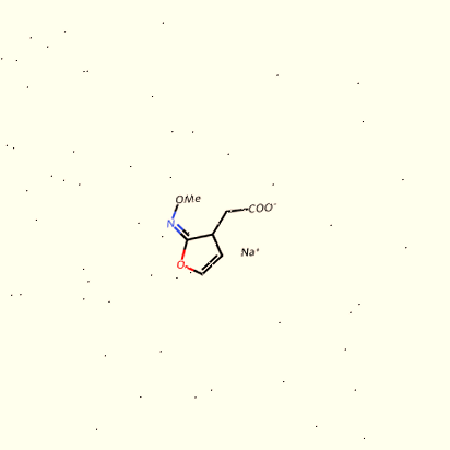 CON=C1OC=CC1CC(=O)[O-].[Na+]